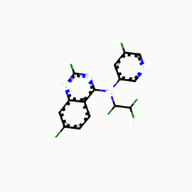 FC(F)C(F)N(c1cncc(Br)c1)c1nc(Cl)nc2cc(Cl)ccc12